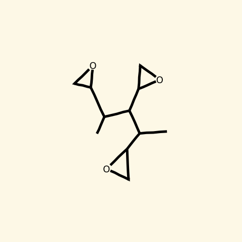 CC(C1CO1)C(C1CO1)C(C)C1CO1